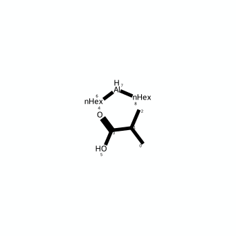 CC(C)C(=O)O.CCCCC[CH2][AlH][CH2]CCCCC